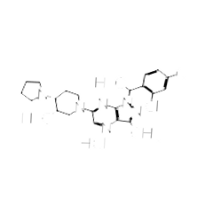 Cc1nn(C(C)c2ccc(Cl)cc2Cl)c2nc(N3CC[C@H](N4CCCC4)[C@H](C)C3)cnc12.Cl